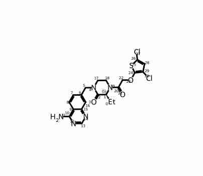 CC[C@H]1C(=O)N(Cc2ccc3c(N)ncnc3c2)CCN1C(=O)COc1sc(Cl)cc1Cl